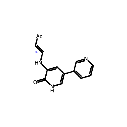 CC(=O)/C=C/Nc1cc(-c2cccnc2)c[nH]c1=O